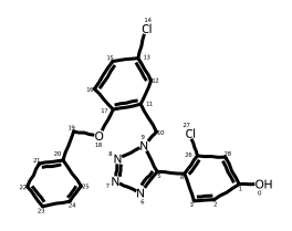 Oc1ccc(-c2nnnn2Cc2cc(Cl)ccc2OCc2ccccc2)c(Cl)c1